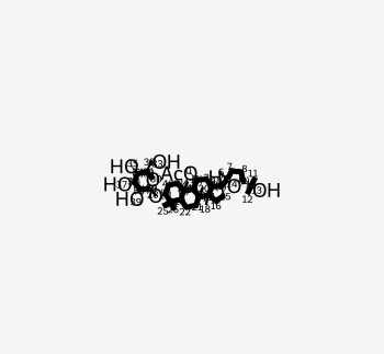 CC(=O)O[C@@H]1C[C@H]2[C@@H]([C@]3(C)CC[C@H](C(C)(C)O)O3)CC[C@]2(C)[C@]2(C)CCC3C(C)(C)[C@H](O[C@@H]4O[C@H](CO)[C@@H](O)[C@H](O)[C@H]4O)CC[C@]3(C)C12